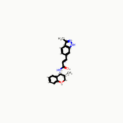 Cc1n[nH]c2cc(/C=C/C(=O)N[C@H]3c4ccccc4OC[C@H]3C)ccc12